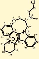 CN(CCCl)[C@H]1COc2cccc(C(=O)O)c2-c2c(C3CCCCC3)c3ccccc3n2C1